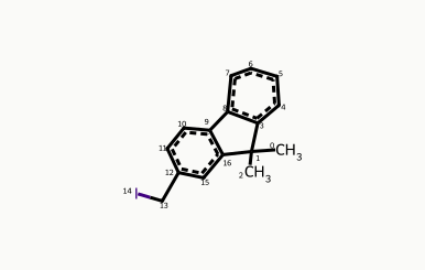 CC1(C)c2ccccc2-c2ccc(CI)cc21